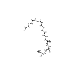 CCCCC/C=C\C/C=C\CCCCCCCC(=O)OCC(C)OCC(C)O